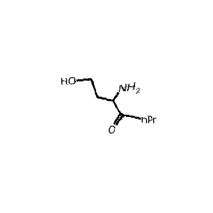 CCCC(=O)C(N)CCO